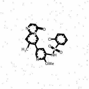 COc1ncc(-c2cn3c(=O)ccnc3cc2C)cc1NS(=O)(=O)c1ccccc1Cl